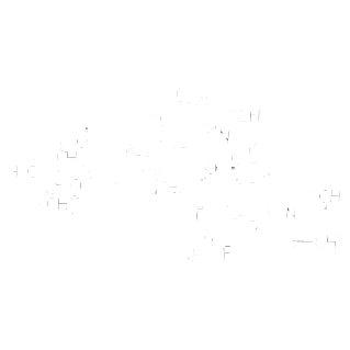 CCN(CC)c1cc(C(F)(F)F)cc(S(=O)(=O)N(C)C2CCCc3c(OCC(=O)OC(C)(C)C)cccc32)c1